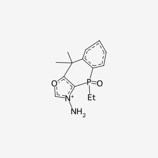 CCP1(=O)c2ccccc2C(C)(C)c2oc[n+](N)c21